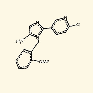 COc1ccccc1Cn1c(C)cnc1-c1ccc(Cl)nc1